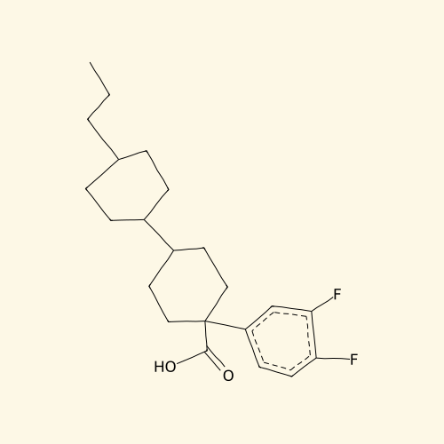 CCCC1CCC(C2CCC(C(=O)O)(c3ccc(F)c(F)c3)CC2)CC1